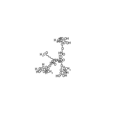 COC(CO)C(O)C(O)C(NC(C)=O)OCCOCCNC(=O)C(CCC(=O)NC(CCC(=O)NCCOCCOC1OC(CO)C(O)C(O)C1NC(C)=O)C(=O)NCCOCCOC1OC(CO)C(O)C(O)C1NC(C)=O)NC(=O)CCCCCCC(C)=O